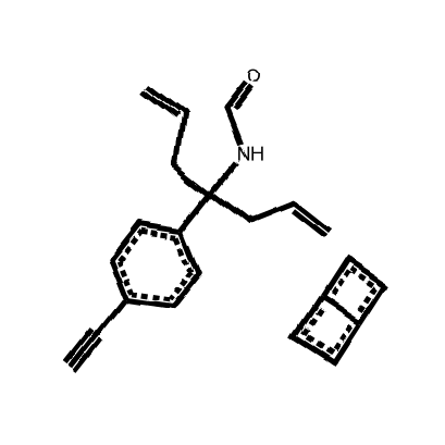 C#Cc1ccc(C(CC=C)(CC=C)NC=O)cc1.c1cc2ccc1-2